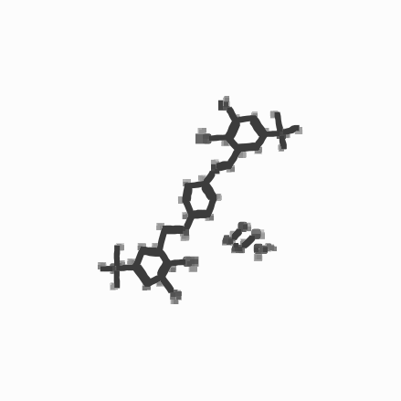 CC(=O)[O-].CC(=O)[O-].CCc1cc([Si](C)(C)C)cc(C=Nc2ccc(N=Cc3cc([Si](C)(C)C)cc(CC)c3O)cc2)c1O.[Co+2]